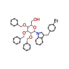 CCc1ccc(Cc2cn(C3OC(CO)C(OCc4ccccc4)C(OCc4ccccc4)C3OCc3ccccc3)c3ccccc23)cc1